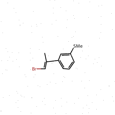 CSc1cccc(C(C)=CBr)c1